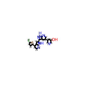 Oc1cncc(-c2cnc3[nH]nc(-c4cc5c(-c6ccc(F)s6)ccnc5[nH]4)c3c2)c1